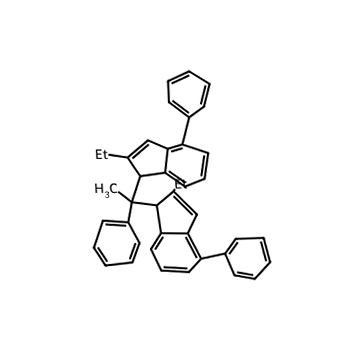 CCC1=Cc2c(-c3ccccc3)cccc2C1C(C)(c1ccccc1)C1C(CC)=Cc2c(-c3ccccc3)cccc21